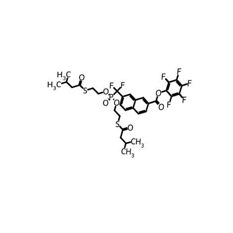 CC(C)CC(=O)SCCOP(=O)(OCCSC(=O)CC(C)C)C(F)(F)c1ccc2ccc(C(=O)Oc3c(F)c(F)c(F)c(F)c3F)cc2c1